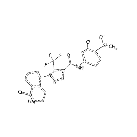 C[S+]([O-])c1ccc(NC(=O)c2cnn(-c3cccc4c(=O)[nH]ccc34)c2C(F)(F)F)cc1Cl